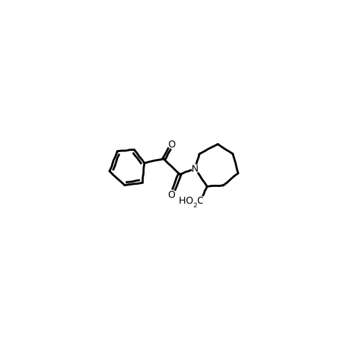 O=C(C(=O)N1CCCCCC1C(=O)O)c1ccccc1